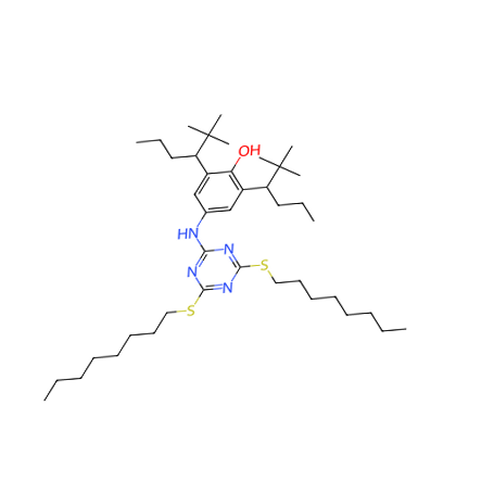 CCCCCCCCSc1nc(Nc2cc(C(CCC)C(C)(C)C)c(O)c(C(CCC)C(C)(C)C)c2)nc(SCCCCCCCC)n1